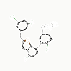 CCOC(=O)c1ccc(F)c(-c2ccc(F)c3cc(Cc4cc(F)cc(Cl)c4)sc23)c1